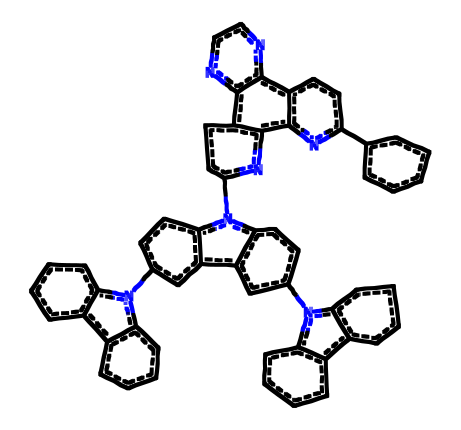 c1ccc(-c2ccc3c4nccnc4c4ccc(-n5c6ccc(-n7c8ccccc8c8ccccc87)cc6c6cc(-n7c8ccccc8c8ccccc87)ccc65)nc4c3n2)cc1